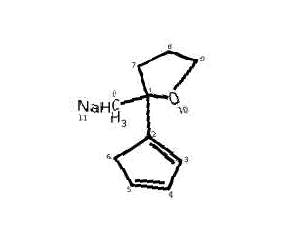 CC1(C2=CC=CC2)CCCO1.[NaH]